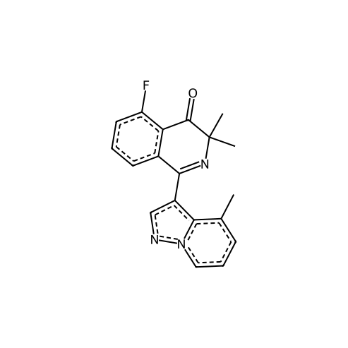 Cc1cccn2ncc(C3=NC(C)(C)C(=O)c4c(F)cccc43)c12